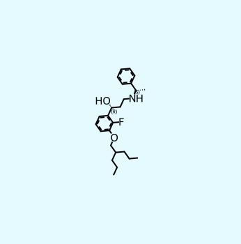 CCCC(CCC)COc1cccc([C@H](O)CCN[C@@H](C)c2ccccc2)c1F